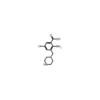 Nc1c(CN2CCNCC2)cc(Cl)cc1C(=O)O